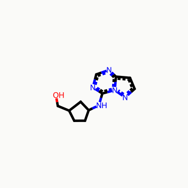 OCC1CCC(Nc2ncnc3ccnn23)C1